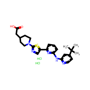 CC(C)(C)c1ccnc(Nc2cccc(-c3cnc(N4CCC(CC(=O)O)CC4)s3)n2)c1.Cl.Cl